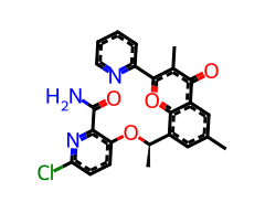 Cc1cc([C@@H](C)Oc2ccc(Cl)nc2C(N)=O)c2oc(-c3ccccn3)c(C)c(=O)c2c1